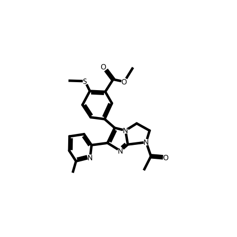 COC(=O)c1cc(-c2c(-c3cccc(C)n3)nc3n2CCN3C(C)=O)ccc1SC